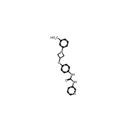 O=C(Nc1ccc(OC2CN(c3cccc(C(=O)O)c3)C2)cc1)Nc1cccnc1